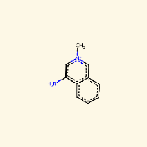 C[n+]1cc(N)c2ccccc2c1